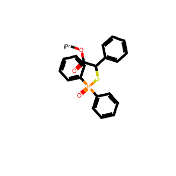 CC(C)OC(=O)C(SP(=O)(c1ccccc1)c1ccccc1)c1ccccc1